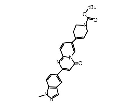 Cn1ncc2cc(-c3cc(=O)n4cc(C5=CCN(C(=O)OC(C)(C)C)CC5)ccc4n3)ccc21